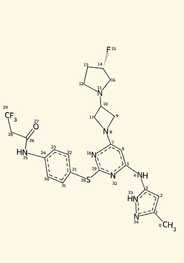 Cc1cc(Nc2cc(N3CC(N4CC[C@H](F)C4)C3)nc(Sc3ccc(NC(=O)CC(F)(F)F)cc3)n2)[nH]n1